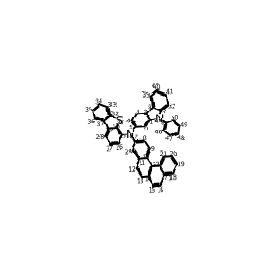 C1=C2C(CC=C1N(c1ccc3c(ccc4ccc5ccccc5c43)c1)c1cccc3c1sc1ccccc13)c1ccccc1N2c1ccccc1